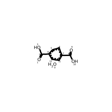 O.O=C(O)c1ccc(C(=O)O)cc1